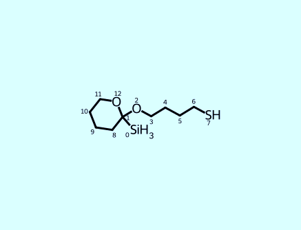 [SiH3]C1(OCCCCS)CCCCO1